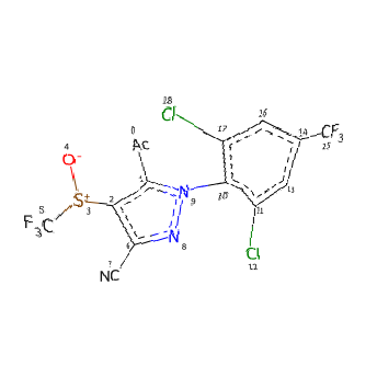 CC(=O)c1c([S+]([O-])C(F)(F)F)c(C#N)nn1-c1c(Cl)cc(C(F)(F)F)cc1Cl